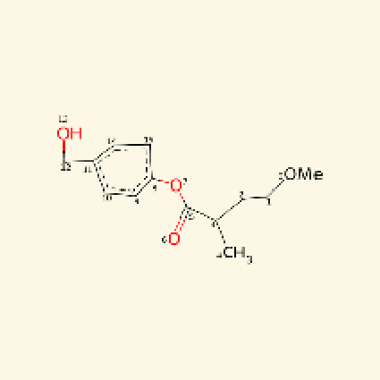 COCCC(C)C(=O)Oc1ccc(CO)cc1